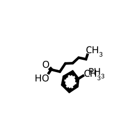 CCCCCCC(=O)O.Cc1ccccc1.P